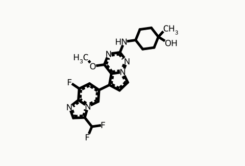 COc1nc(NC2CCC(C)(O)CC2)nn2ccc(-c3cc(F)c4ncc(C(F)F)n4c3)c12